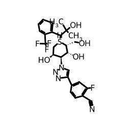 CC(C)(O)C(c1ccccc1C(F)(F)F)[SH]1C[C@H](O)[C@H](n2cc(-c3ccc(C#N)c(F)c3)nn2)[C@@H](O)[C@H]1CO